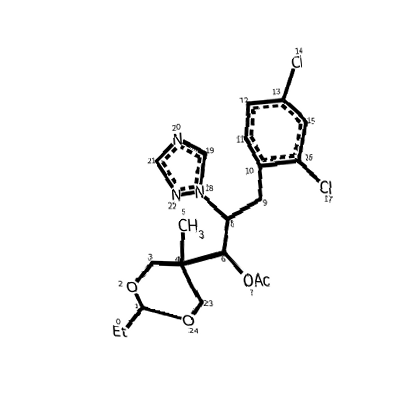 CCC1OCC(C)(C(OC(C)=O)C(Cc2ccc(Cl)cc2Cl)n2cncn2)CO1